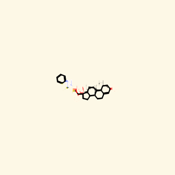 C[C@H]1CC2(C)C(CC[C@]2(O)C(=O)CSc2nc3ccccc3s2)C2CCC3=CC(=O)CCC3(C)C21